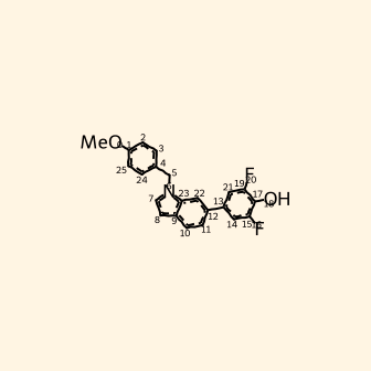 COc1ccc(Cn2ccc3ccc(-c4cc(F)c(O)c(F)c4)cc32)cc1